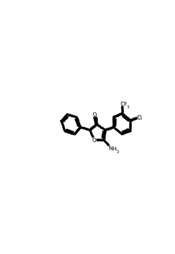 NC1=C(c2ccc(Cl)c(C(F)(F)F)c2)C(=O)C(c2ccccc2)O1